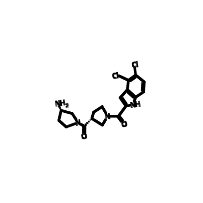 N[C@H]1CCN(C(=O)[C@@H]2CCN(C(=O)c3cc4c(Cl)c(Cl)ccc4[nH]3)C2)C1